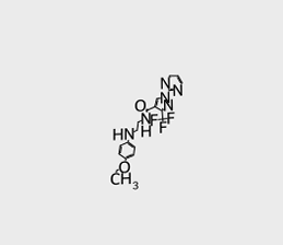 CCOc1ccc(NCCNC(=O)c2cn(-c3ncccn3)nc2C(F)(F)F)cc1